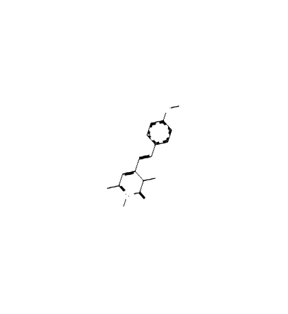 COc1ccc(C=CC2=CC(C)=[N+](C)C(=O)C2C)cc1